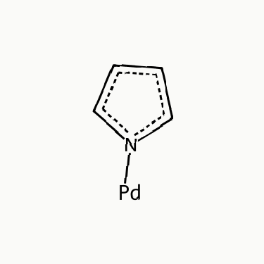 [Pd][n]1cccc1